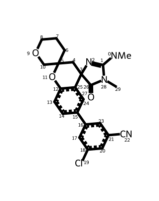 CNC1=NC2(CC3(CCCOC3)Oc3ccc(-c4cc(Cl)cc(C#N)c4)cc32)C(=O)N1C